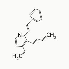 C=CC=Cc1c(C=C)ccnc1C=Cc1ccccc1